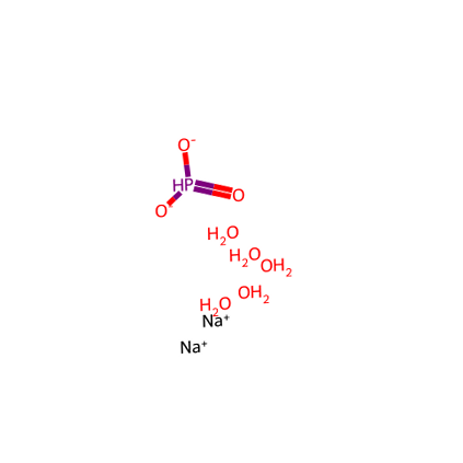 O.O.O.O.O.O=[PH]([O-])[O-].[Na+].[Na+]